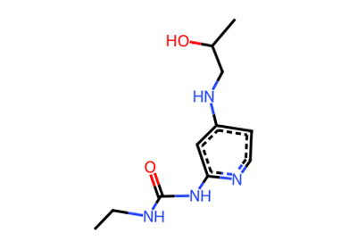 CCNC(=O)Nc1cc(NCC(C)O)ccn1